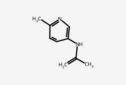 C=C(C)Nc1ccc(C)nc1